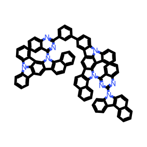 c1cc(-c2ccc3c(c2)c2cc4c5ccc6ccccc6c5n(-c5nc(-n6c7ccccc7c7c8ccccc8ccc76)nc6ccccc56)c4c4c5ccccc5n3c24)cc(-c2nc(-n3c4c5ccccc5ccc4c4cc5c6ccccc6n6c7ccccc7c(c43)c56)c3ccccc3n2)c1